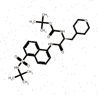 CC(C)(C)NS(=O)(=O)c1cccc2c(NC(=O)[C@H](CC3CCOCC3)NC(=O)OC(C)(C)C)cccc12